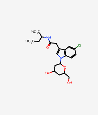 O=C(O)CC(NC(=O)Cc1cn(C2CC(O)CC(CO)O2)c2ccc(Cl)cc12)C(=O)O